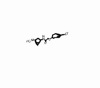 N[C@H]1CC(NC(=O)COc2ccc(Cl)cc2)C2CC21